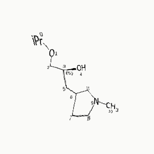 CC(C)OC[C@@H](O)CC1CCN(C)C1